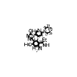 CCC(=N)c1cc(-c2nnc(O)n2-c2ccc(N3CCOCC3)nc2)c(O)cc1N